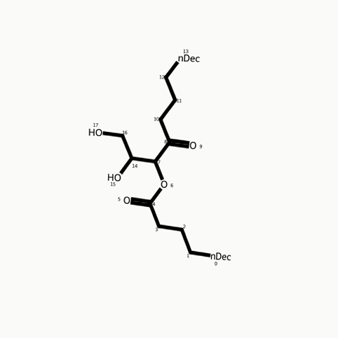 CCCCCCCCCCCCCC(=O)OC(C(=O)CCCCCCCCCCCCC)C(O)CO